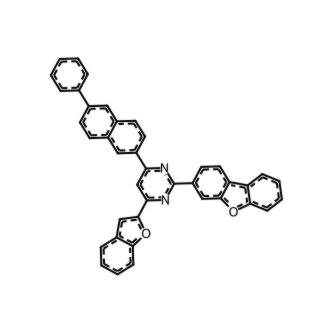 c1ccc(-c2ccc3cc(-c4cc(-c5cc6ccccc6o5)nc(-c5ccc6c(c5)oc5ccccc56)n4)ccc3c2)cc1